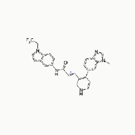 Cn1cnc2ccc(C3=C(/C=C/C(=O)Nc4ccc5c(ccn5CC(F)(F)F)c4)CNC=C3)cc21